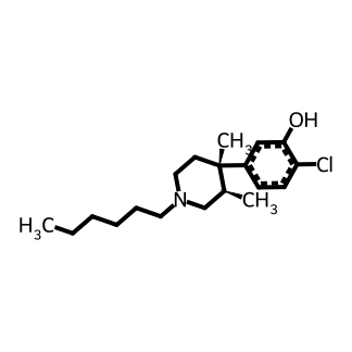 CCCCCCN1CC[C@](C)(c2ccc(Cl)c(O)c2)[C@@H](C)C1